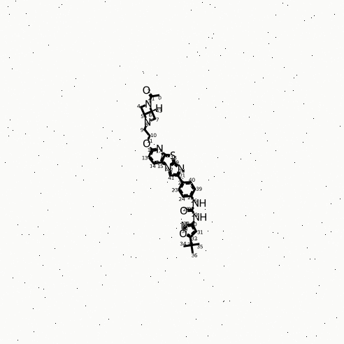 CC(=O)N1CC2[C@H]1CN2CCOc1ccc2c(n1)sc1nc(-c3ccc(NC(=O)Nc4cc(C(C)(C)C)on4)cc3)cn12